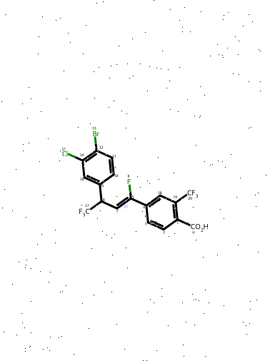 O=C(O)c1ccc(/C(F)=C/C(c2ccc(Br)c(Cl)c2)C(F)(F)F)cc1C(F)(F)F